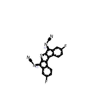 N#C/N=c1/c2cc(F)ccc2c2c1sc1/c(=N/C#N)c3cc(F)ccc3c12